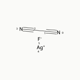 N#CC#N.[Ag+].[F-]